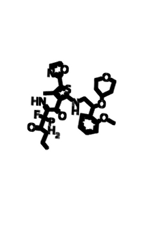 CCCC(=O)C(F)(P)C(=N)C(=O)c1c(NCC(OC2CCOCC2)c2ccccc2OC)sc(-c2ncco2)c1C